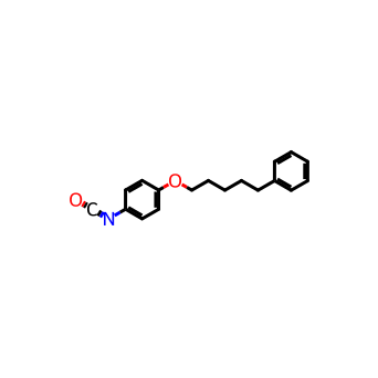 O=C=Nc1ccc(OCCCCCc2ccccc2)cc1